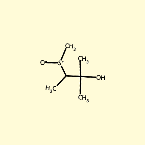 CC([S+](C)[O-])C(C)(C)O